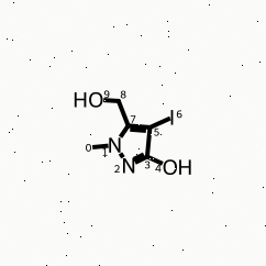 Cn1nc(O)c(I)c1CO